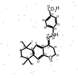 CC1(C)CCC(C)(C)c2cc3c(cc21)OCCC3=NNc1ccc(C(=O)O)cc1